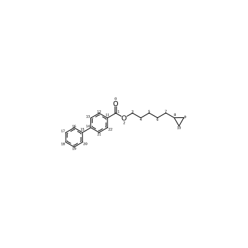 O=C(OCCCCCC1CC1)c1ccc(-c2ccccc2)cc1